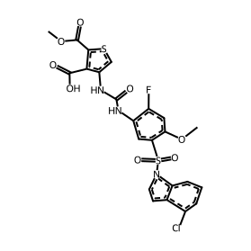 COC(=O)c1scc(NC(=O)Nc2cc(S(=O)(=O)n3ccc4c(Cl)cccc43)c(OC)cc2F)c1C(=O)O